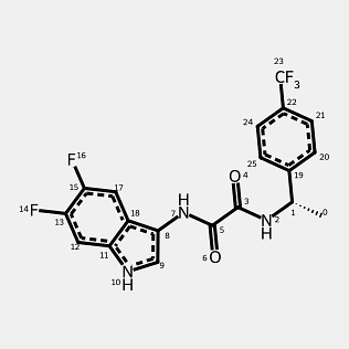 C[C@H](NC(=O)C(=O)Nc1c[nH]c2cc(F)c(F)cc12)c1ccc(C(F)(F)F)cc1